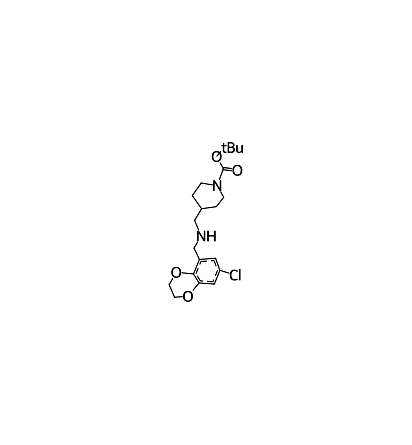 CC(C)(C)OC(=O)N1CCC(CNCc2cc(Cl)cc3c2OCCO3)CC1